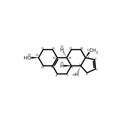 C[C@@]12C=CC[C@H]1[C@@H]1CCC3=C(CC[C@H](O)C3)[C@H]1CC2